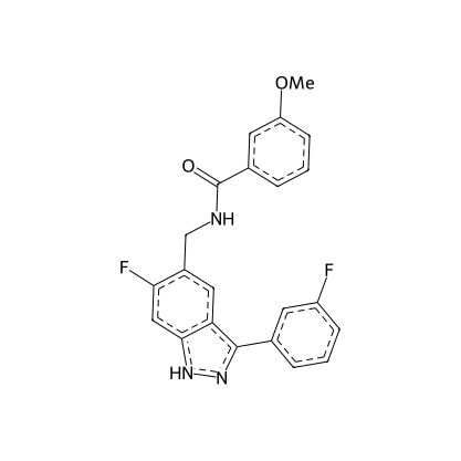 COc1cccc(C(=O)NCc2cc3c(-c4cccc(F)c4)n[nH]c3cc2F)c1